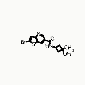 CC1(O)CC(NC(=O)c2cnc3cc(Br)sc3c2)C1